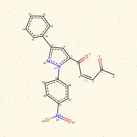 CC(=O)/C=C\C(=O)c1cc(-c2ccccc2)nn1-c1ccc([N+](=O)[O-])cc1